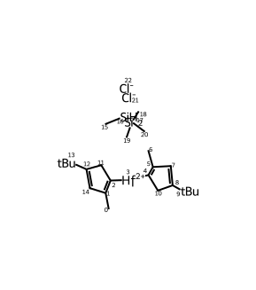 CC1=[C]([Hf+2][C]2=C(C)C=C(C(C)(C)C)C2)CC(C(C)(C)C)=C1.C[SiH2][Si](C)(C)C.[Cl-].[Cl-]